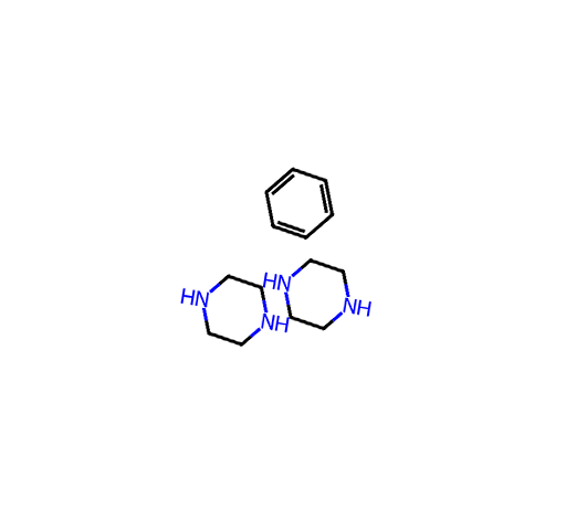 C1CNCCN1.C1CNCCN1.c1ccccc1